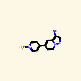 C[n+]1ccc(-c2ccn3ncc(N)c3c2)cc1